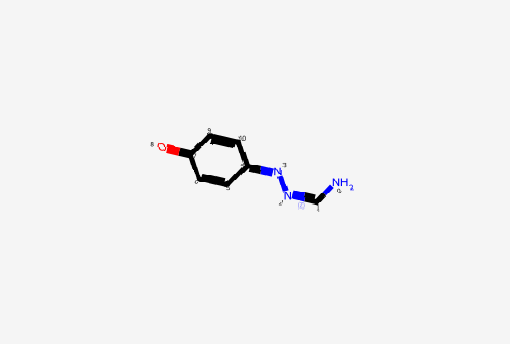 N/C=N\N=C1C=CC(=O)C=C1